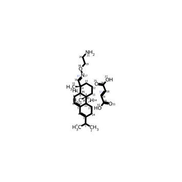 CC(C)C1=CC2=CC[C@@H]3[C@](C)(CCC[C@@]3(C)/C=N/OCCN)[C@H]2CC1.O=C(O)/C=C/C(=O)O